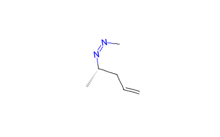 C=CC[C@H](C)/N=N\C